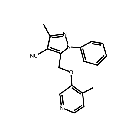 Cc1ccncc1OCc1c(C#N)c(C)nn1-c1ccccc1